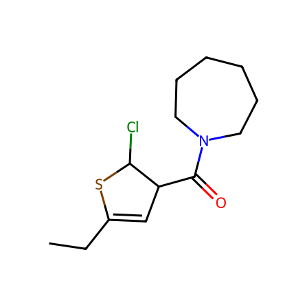 CCC1=CC(C(=O)N2CCCCCC2)C(Cl)S1